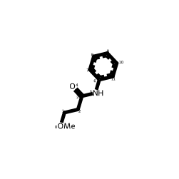 COCCC(=O)Nc1ccccc1